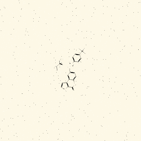 CC(C)(C)c1ccc(S(=O)(=O)Nc2ccc3[nH]c(=O)c4[nH]ccc4c3c2)cc1.CCC(=O)O